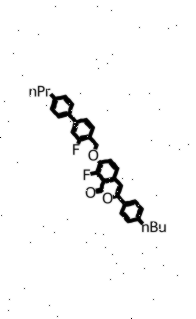 CCCCc1ccc(-c2cc3ccc(OCc4ccc(-c5ccc(CCC)cc5)cc4F)c(F)c3c(=O)o2)cc1